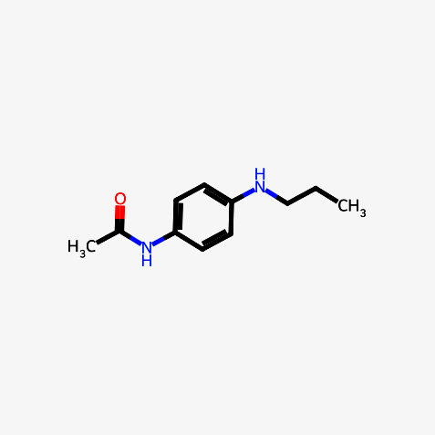 CCCNc1ccc(NC(C)=O)cc1